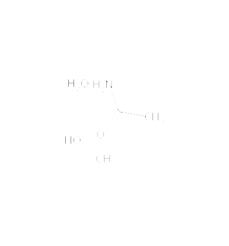 CC(N)=O.CO.O